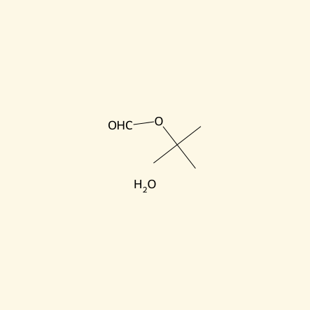 CC(C)(C)OC=O.O